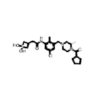 Cc1c(CN2CCN(C(=O)C3CCCC3)[C@@H](C)C2)cc(Cl)cc1NC(=O)CC1CS(O)(O)C1